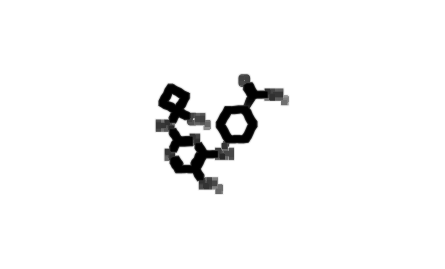 CC1(Nc2ncc(N)c(N[C@H]3CC[C@H](C(N)=O)CC3)n2)CCC1